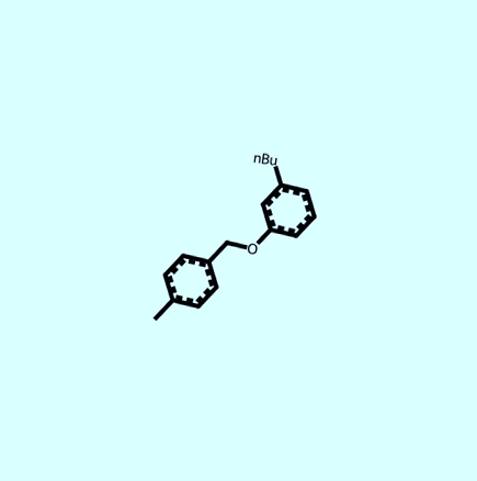 CCCCc1cccc(OCc2ccc(C)cc2)c1